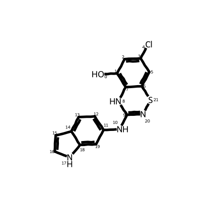 Oc1cc(Cl)cc2c1NC(Nc1ccc3cc[nH]c3c1)=NS2